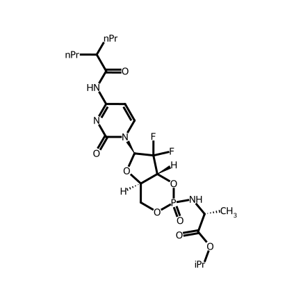 CCCC(CCC)C(=O)Nc1ccn([C@@H]2O[C@@H]3COP(=O)(N[C@H](C)C(=O)OC(C)C)O[C@H]3C2(F)F)c(=O)n1